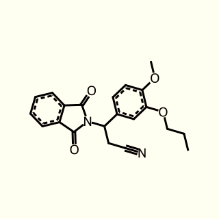 CCCOc1cc(C(CC#N)N2C(=O)c3ccccc3C2=O)ccc1OC